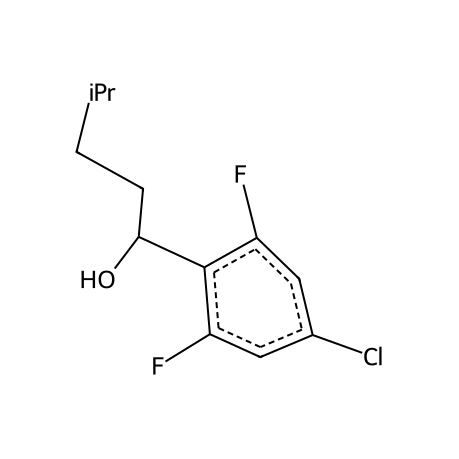 CC(C)CCC(O)c1c(F)cc(Cl)cc1F